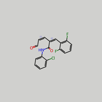 O=C/C=C\C(=C\c1c(F)cccc1F)C(=O)Nc1ccccc1Cl